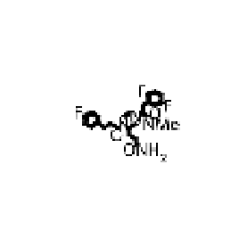 CNC(=O)C(Cc1cc(F)ccc1F)N1CCN(C(=O)[CH]Cc2ccc(F)cc2)C(CCC(N)=O)C1